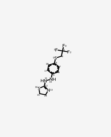 FC(F)(F)CSc1ccc(NNC2=NCCS2)cc1